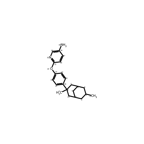 CC1CC2CC(C1)CC(C)(c1ccc(Oc3ccc(N)cn3)cc1)C2